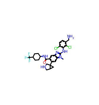 Cn1c(Nc2c(Cl)ccc(CN)c2Cl)nc2cc(C(=O)NC3CCC(C(F)(F)F)CC3)c(C34CNCC3C4)cc21